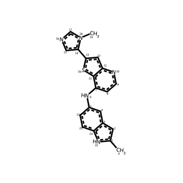 Cc1cc2cc(Nc3ccnc4cc(-c5cncn5C)sc34)ccc2[nH]1